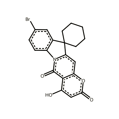 O=c1cc(O)c2c(=O)n3c(cc2o1)C1(CCCCC1)c1cc(Br)ccc1-3